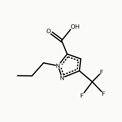 CCCn1nc(C(F)(F)F)cc1C(=O)O